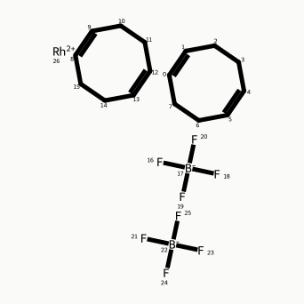 C1=CCCC=CCC1.C1=CCCC=CCC1.F[B-](F)(F)F.F[B-](F)(F)F.[Rh+2]